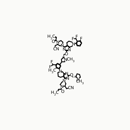 C=CC(=O)N1CCN(c2nc(OC[C@@H]3CCCN3C)nc3c2CCCN(c2cc(C4C[C@@H](COc5nc6c(c(N7CCN(C(=O)C=C)C(CC#N)C7)n5)CCCN(c5cccc(F)c5C(F)F)C6)N(C)C4)cc(C(F)F)c2C)C3)CC1CC#N